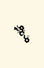 CN1c2cccc3c2N(CC12CC2)[C@H]1CCN(CCc2ccccc2Cl)C[C@@H]31